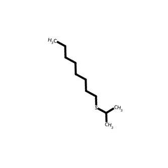 CCCCCCCCSC(C)C